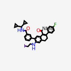 CNC(=O)C1=C(c2ccc(F)cc2)CCc2cc(NCCI)c(-c3cccc(C(=O)NC(C4CC4)C4CC4)c3)cc21